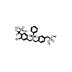 O=P(Cc1ccc(CN(Cc2ccc(C(F)(F)P(=O)(O)O)c(Br)c2)S(=O)(=O)c2ccccc2)cc1)(OF)OF